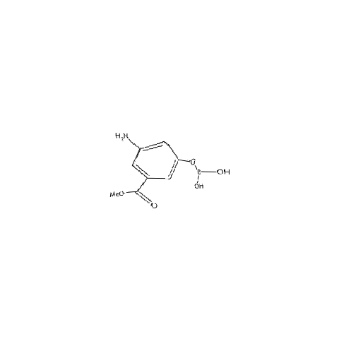 COC(=O)c1cc(N)cc(OB(O)O)c1